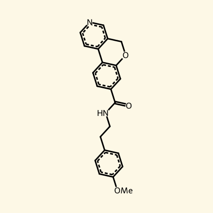 COc1ccc(CCNC(=O)c2ccc3c(c2)OCc2cnccc2-3)cc1